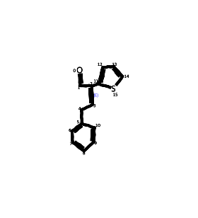 O=C/C(=C\Cc1ccccc1)c1cccs1